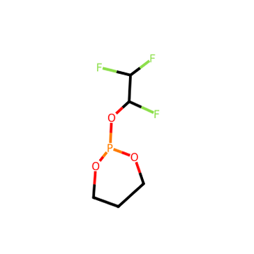 FC(F)C(F)OP1OCCCO1